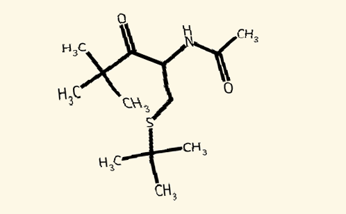 CC(=O)NC(CSC(C)(C)C)C(=O)C(C)(C)C